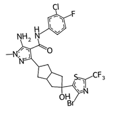 Cn1nc(C2CC3CC(O)(c4sc(C(F)(F)F)nc4Br)CC3C2)c(C(=O)Nc2ccc(F)c(Cl)c2)c1N